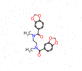 CN(CCN(C)C(=O)c1ccc2c(c1)OCO2)C(=O)c1ccc2c(c1)OCO2